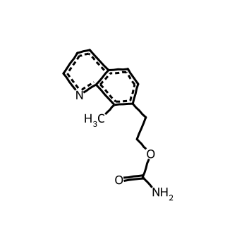 Cc1c(CCOC(N)=O)ccc2cccnc12